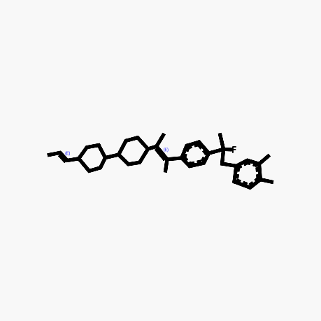 C/C=C/C1CCC(C2CCC(/C(C)=C(\C)c3ccc(C(C)(F)Cc4ccc(C)c(C)c4)cc3)CC2)CC1